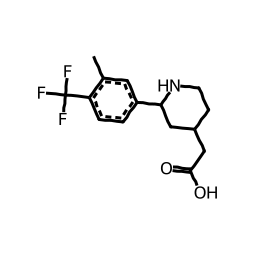 Cc1cc(C2CC(CC(=O)O)CCN2)ccc1C(F)(F)F